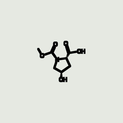 COC(=O)N1C[C@@H](O)C[C@H]1C(=O)O